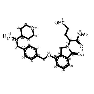 CNC(=O)C(CCC=O)N1Cc2c(OCc3ccc(CN(C)C4CCOCC4)cc3)cccc2C1=O